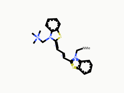 CNC[n+]1c(/C=C/C=C2\Sc3ccccc3N2C[N+](C)(C)C)sc2ccccc21